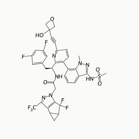 Cn1nc(NS(C)(=O)=O)c2cccc(-c3ccc(C#CC4(O)COC4)nc3[C@H](Cc3cc(F)cc(F)c3)NC(=O)Cn3nc(C(F)(F)F)c4c3C(F)(F)C3CC43)c21